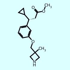 COC(=O)C[C@H](c1cccc(OCC2(C)CNC2)c1)C1CC1